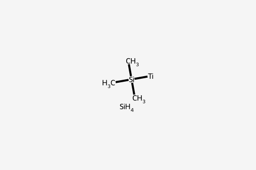 C[Si](C)(C)[Ti].[SiH4]